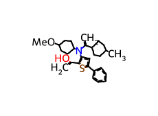 C=C(O)c1sc(-c2ccccc2)cc1N(C(=C)C1CCC(C)CC1)C1CCC(OC)CC1